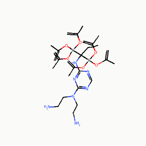 C=C(C)O[Si](OC(=C)C)(OC(=C)C)C(CC)(Nc1ncnc(N(CCN)CCN)n1)[Si](OC(=C)C)(OC(=C)C)OC(=C)C